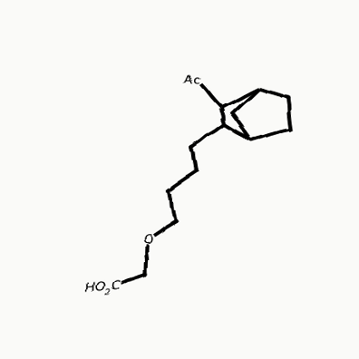 CC(=O)C1C2CCC(C2)C1CCCCOCC(=O)O